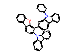 c1ccc(-n2c3ccccc3c3ccc(-c4c(-n5c6ccccc6c6ccccc65)ccc5c4oc4ccccc45)cc32)cc1